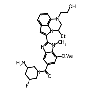 CCC1CN(CCO)c2cccc3cc(-c4nc5cc(C(=O)N6C[C@H](N)C[C@@H](F)C6)cc(OC)c5n4C)n1c23